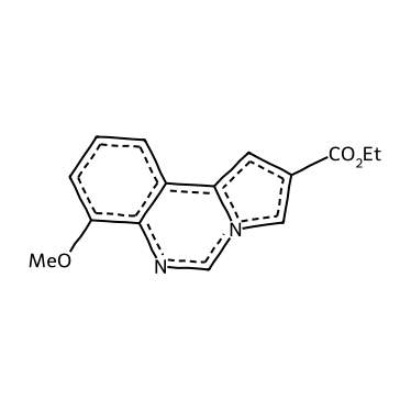 CCOC(=O)c1cc2c3cccc(OC)c3ncn2c1